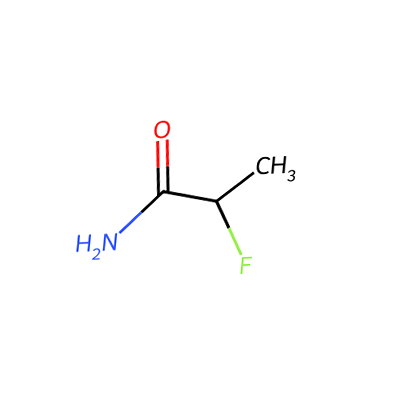 CC(F)C(N)=O